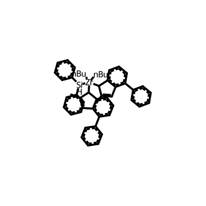 CCC[CH2][Zr]([CH2]CCC)([CH]1C(C)=Cc2c(-c3ccccc3)cccc21)([CH]1C(C)=Cc2c(-c3ccccc3)cccc21)[SiH](c1ccccc1)c1ccccc1